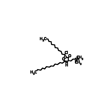 CCCCCCCCCCCCCC(=O)N[C@H](CC[SH](C)C)C(=O)OC(Cl)CCCCCCCCCCC